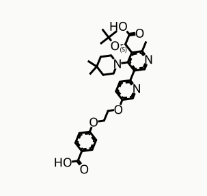 Cc1ncc(-c2ccc(OCCOc3ccc(C(=O)O)cc3)cn2)c(N2CCC(C)(C)CC2)c1[C@H](OC(C)(C)C)C(=O)O